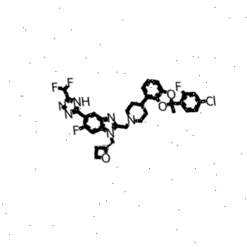 CC1(c2ccc(Cl)cc2F)Oc2cccc(C3CCN(Cc4nc5cc(-c6nnc(C(F)F)[nH]6)c(F)cc5n4C[C@@H]4CCO4)CC3)c2O1